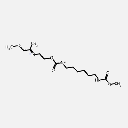 COC/C(C)=N/CCOC(=O)NCCCCCCNC(=O)OC